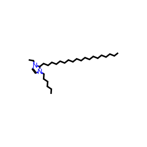 CCCCCCCCCCCCCCCCCCCC1N(CC)C=CN1CCCCCC